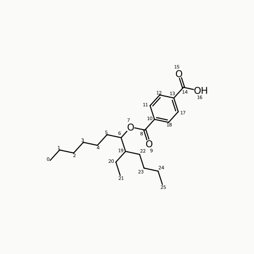 CCCCCCC(OC(=O)c1ccc(C(=O)O)cc1)C(CC)CCCC